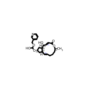 C[C@H]1CCC/C=C/[C@@H]2C[C@H](OC(O)OCc3cccnc3)C[C@H]2[C@H](O)/C=C/C(=O)O1